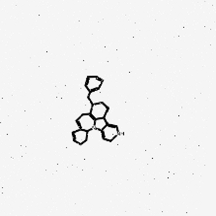 C1=CC2=CCC3=C4C(CCC3Cc3ccccc3)C3=CNCC=C3N4C2CC1